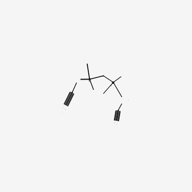 CC(C)(CC(C)(C)SC#N)SC#N